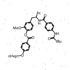 CCCCCCCOc1ccc(C(=O)Oc2ccc(CC(NC(=O)c3ccc(NC(=O)C(C)(C)C)cc3)C(C)=O)cc2OC)cc1